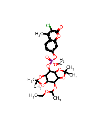 CCOC(C)OC1C2OC(C)(C)OC2C(OP(=O)(OC)Oc2ccc3c(C)c(Cl)c(=O)oc3c2)C2OC(C)(C)OC12